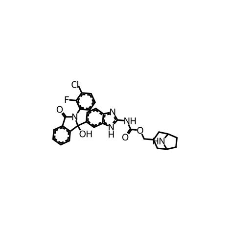 O=C(Nc1nc2ccc(C3(O)c4ccccc4C(=O)N3c3cccc(Cl)c3F)cc2[nH]1)OCC1CC2CCC(C1)N2